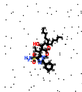 CCCCCC1(CCCCC)CC(O)=C(C(CC)c2c(S(N)(=O)=O)nc(-c3ccccc3)n2C)C(=O)O1